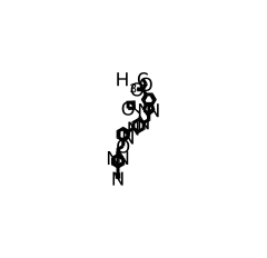 COC(=O)c1ccc2nc(CN3CCN(c4cccc(OCc5ncc(C#N)cn5)n4)CC3)n(C[C@@H]3CCO3)c2c1